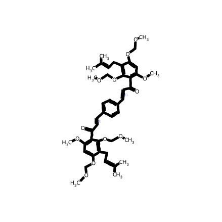 COCOc1cc(OC)c(C(=O)/C=C/c2ccc(/C=C/C(=O)c3c(OC)cc(OCOC)c(CC=C(C)C)c3OCOC)cc2)c(OCOC)c1CC=C(C)C